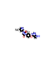 CCc1cc(Oc2ncnc3[nH]ccc23)ccc1N1C(=O)CN(c2cncc(C#N)c2)C1=O